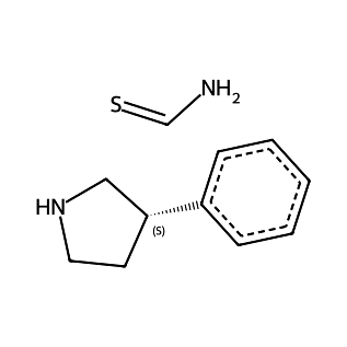 NC=S.c1ccc([C@@H]2CCNC2)cc1